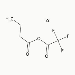 CCCC(=O)OC(=O)C(F)(F)F.[Zr]